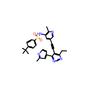 CCc1ncnc(-c2ccnc(C)c2)c1C#Cc1cnc(C)c(NS(=O)(=O)c2ccc(C(C)(C)C)cc2)c1